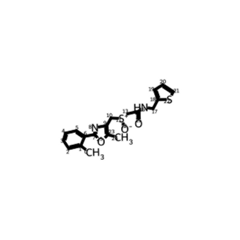 Cc1ccccc1-c1nc(C[S+]([O-])CC(=O)NCc2cccs2)c(C)o1